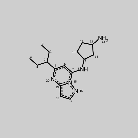 CCC(CC)c1cc(NC2CCC(N)C2)n2nccc2n1